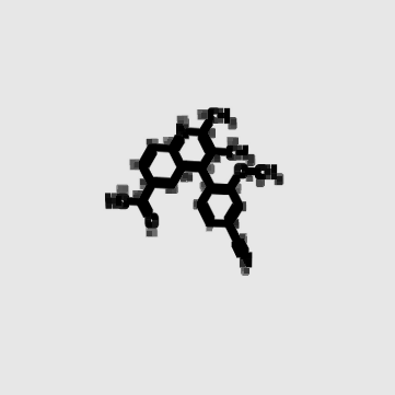 COc1cc(C#N)ccc1-c1c(C)c(C)nc2ccc(C(=O)O)cc12